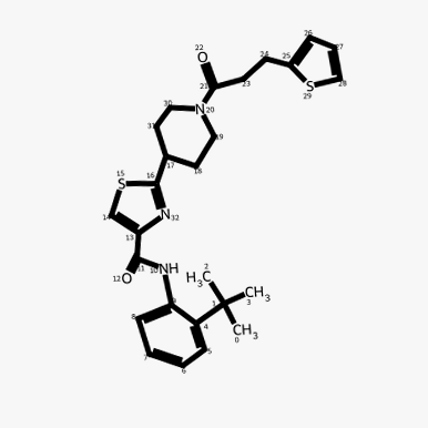 CC(C)(C)c1ccccc1NC(=O)c1csc(C2CCN(C(=O)CCc3cccs3)CC2)n1